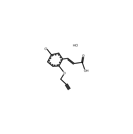 C#CCOc1ccc(Cl)cc1C=CC(=O)O.Cl